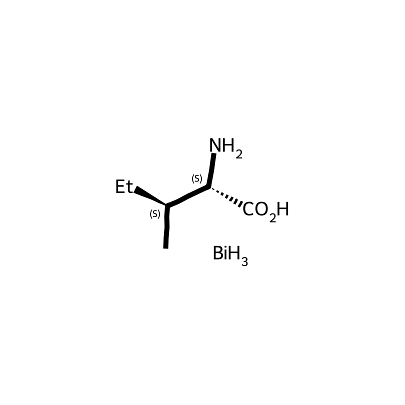 CC[C@H](C)[C@H](N)C(=O)O.[BiH3]